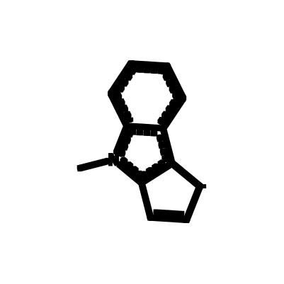 Cn1c2c(c3ccccc31)[CH]C=C2